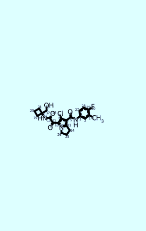 Cc1cc(NC(=O)c2c(Cl)c(C(=O)C(=O)NC3(CO)CCC3)n3c2CCC3)ccc1F